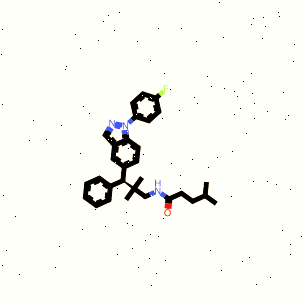 CC(C)CCC(=O)NCC(C)(C)[C@@H](c1ccccc1)c1ccc2c(cnn2-c2ccc(F)cc2)c1